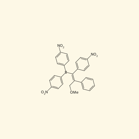 COC/C(=C(\B(c1ccc([N+](=O)[O-])cc1)c1ccc([N+](=O)[O-])cc1)c1ccc([N+](=O)[O-])cc1)c1ccccc1